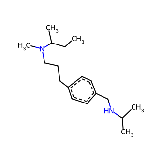 CCC(C)N(C)CCCc1ccc(CNC(C)C)cc1